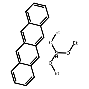 CCO[SiH](OCC)OCC.c1ccc2cc3cc4ccccc4cc3cc2c1